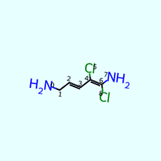 NCC=CC(Cl)=C(N)Cl